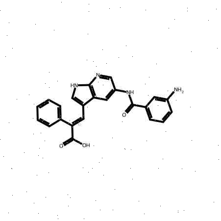 Nc1cccc(C(=O)Nc2cnc3[nH]cc(/C=C(/C(=O)O)c4ccccc4)c3c2)c1